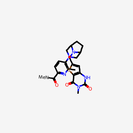 CNC(=O)c1ccc(N2CC3CCC(C2)N3Cc2cc3[nH]c(=O)n(C)c(=O)c3s2)c(C)n1